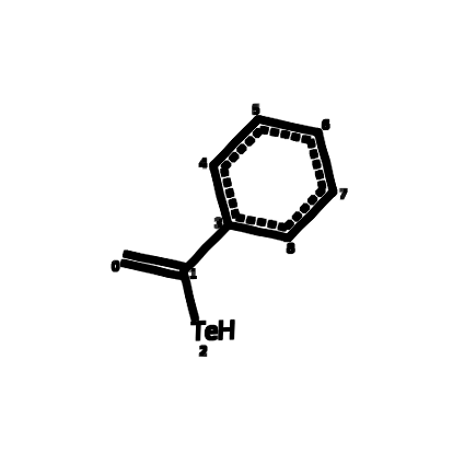 C=C([TeH])c1ccccc1